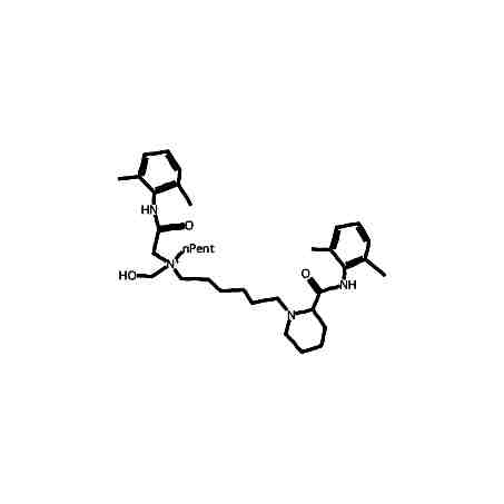 CCCCC[N+](CO)(CCCCCCN1CCCCC1C(=O)Nc1c(C)cccc1C)CC(=O)Nc1c(C)cccc1C